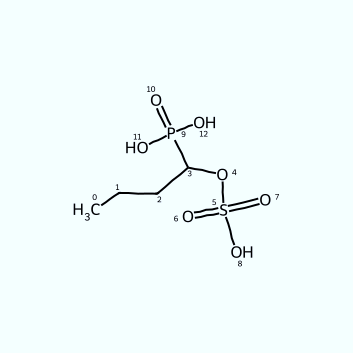 CCCC(OS(=O)(=O)O)P(=O)(O)O